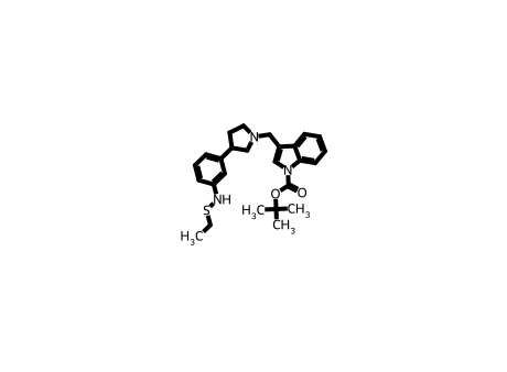 CCSNc1cccc(C2CCN(Cc3cn(C(=O)OC(C)(C)C)c4ccccc34)C2)c1